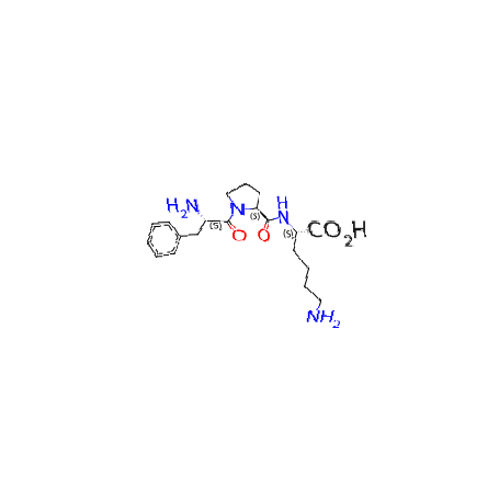 NCCCC[C@H](NC(=O)[C@@H]1CCCN1C(=O)[C@@H](N)Cc1ccccc1)C(=O)O